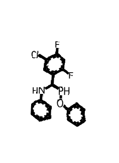 Fc1cc(F)c(C(Nc2ccccc2)POc2ccccc2)cc1Cl